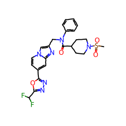 CS(=O)(=O)N1CCC(C(=O)N(Cc2cn3ccc(-c4nnc(C(F)F)o4)cc3n2)c2ccccc2)CC1